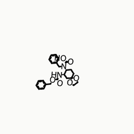 O=C(N[C@@H]1CC2(CC[C@@H]1N(Cc1ccccc1)C(=O)O)OCCO2)OCc1ccccc1